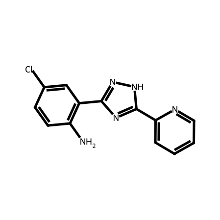 Nc1ccc(Cl)cc1-c1n[nH]c(-c2ccccn2)n1